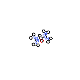 c1ccc2c(c1)C1(c3nc(-n4c5ccccc5c5ccccc54)cc(-n4c5ccccc5c5ccccc54)n3)c3ccccc3C2(c2nc(-n3c4ccccc4c4ccccc43)cc(-n3c4ccccc4c4ccccc43)n2)c2ccccc21